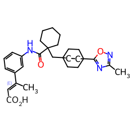 C/C(=C\C(=O)O)c1cccc(NC(=O)C2(CC34CCC(c5nc(C)no5)(CC3)CC4)CCCCC2)c1